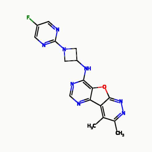 Cc1nnc2oc3c(NC4CN(c5ncc(F)cn5)C4)ncnc3c2c1C